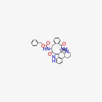 CN1CCCC2c3cccc4[nH]c5c(c34)C(C)(NC(=O)c3ccccc3C[C@H](NC(=O)OCc3ccccc3)C5=O)[C@H]21